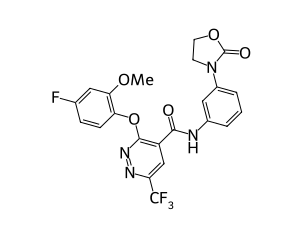 COc1cc(F)ccc1Oc1nnc(C(F)(F)F)cc1C(=O)Nc1cccc(N2CCOC2=O)c1